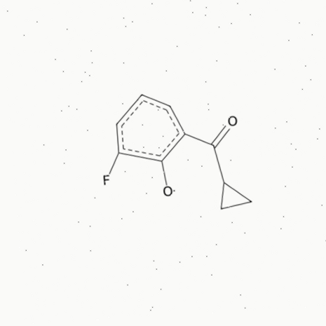 [O]c1c(F)cccc1C(=O)C1CC1